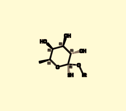 CCO[C@@]1(S)O[C@@H](C)[C@@H](O)[C@@H](O)[C@@H]1O